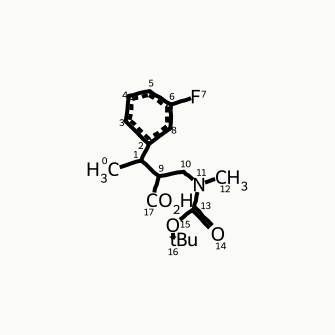 CC(c1cccc(F)c1)C(CN(C)C(=O)OC(C)(C)C)C(=O)O